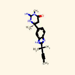 CC#CC(C)(C)c1nc2ccc([C@]3(C)CC(=O)N(C)C(=N)N3)cc2[nH]1